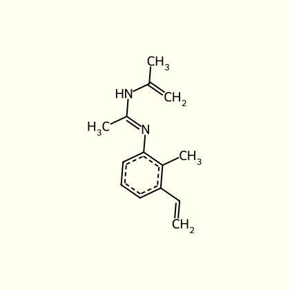 C=Cc1cccc(/N=C(\C)NC(=C)C)c1C